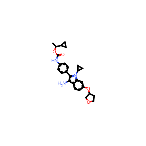 CC(OC(=O)Nc1ccc(-c2c(N)c3ccc(OC4CCOC4)cc3n2C2CC2)cc1)C1CC1